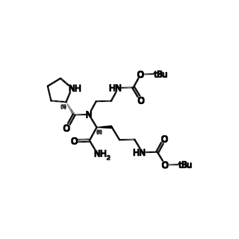 CC(C)(C)OC(=O)NCCC[C@@H](C(N)=O)N(CCNC(=O)OC(C)(C)C)C(=O)[C@@H]1CCCN1